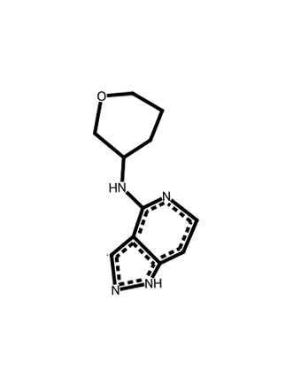 [c]1n[nH]c2ccnc(NC3CCCOC3)c12